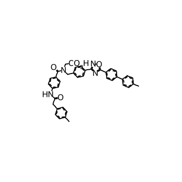 Cc1ccc(CC(=O)Nc2ccc(C(=O)N(CC(=O)O)Cc3ccc(-c4noc(-c5ccc(-c6ccc(C)cc6)cc5)n4)cc3)cc2)cc1